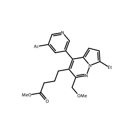 CCc1ccc2c(-c3cncc(C(C)=O)c3)c(CCCC(=O)OC)c(COC)nn12